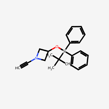 C#CN1CC(O[Si](c2ccccc2)(c2ccccc2)C(C)(C)C)C1